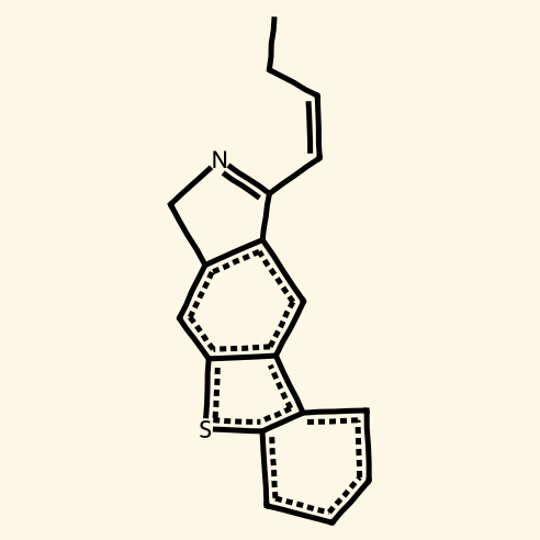 CC/C=C\C1=NCc2cc3sc4ccccc4c3cc21